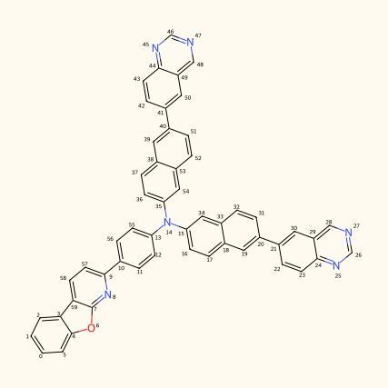 c1ccc2c(c1)oc1nc(-c3ccc(N(c4ccc5cc(-c6ccc7ncncc7c6)ccc5c4)c4ccc5cc(-c6ccc7ncncc7c6)ccc5c4)cc3)ccc12